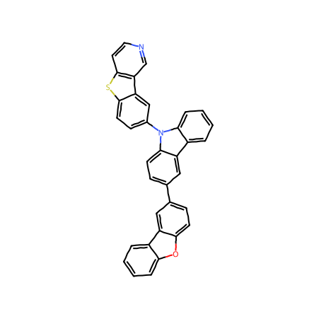 c1ccc2c(c1)oc1ccc(-c3ccc4c(c3)c3ccccc3n4-c3ccc4sc5ccncc5c4c3)cc12